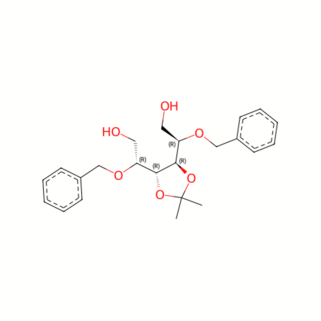 CC1(C)O[C@H]([C@@H](CO)OCc2ccccc2)[C@@H]([C@@H](CO)OCc2ccccc2)O1